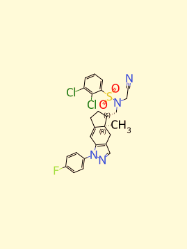 C[C@]12Cc3cnn(-c4ccc(F)cc4)c3C=C1CC[C@@H]2CN(CC#N)S(=O)(=O)c1cccc(Cl)c1Cl